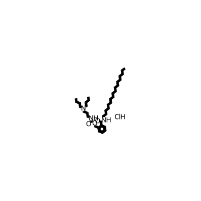 CCCCCCCCCCCCCCCCCCNC(=O)c1ccccc1COC(=O)NCCCN(CCCC)CCCC.Cl